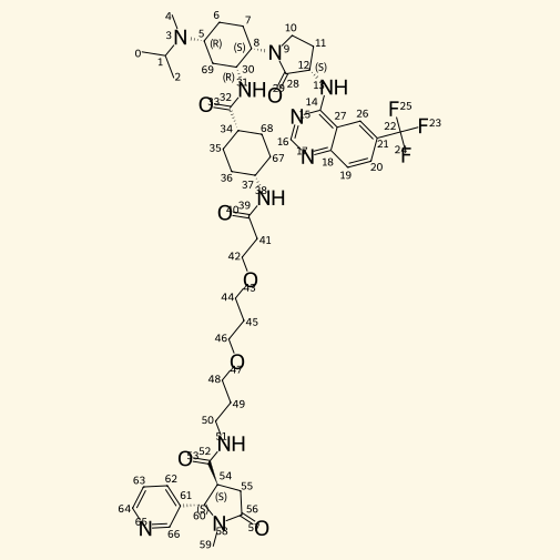 CC(C)N(C)[C@@H]1CC[C@H](N2CC[C@H](Nc3ncnc4ccc(C(F)(F)F)cc34)C2=O)[C@H](NC(=O)[C@H]2CC[C@@H](NC(=O)CCOCCCOCCCNC(=O)[C@H]3CC(=O)N(C)[C@@H]3c3cccnc3)CC2)C1